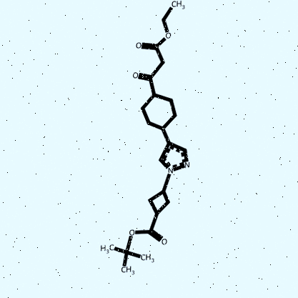 CCOC(=O)CC(=O)C1CCC(c2cnn(C3CC(C(=O)OC(C)(C)C)C3)c2)CC1